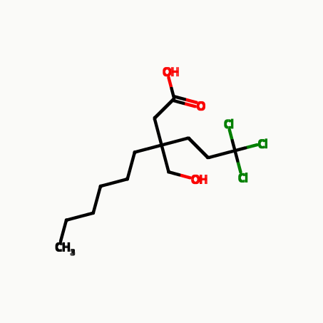 CCCCCCC(CO)(CCC(Cl)(Cl)Cl)CC(=O)O